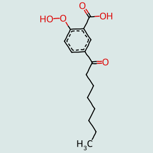 CCCCCCCC(=O)c1ccc(OO)c(C(=O)O)c1